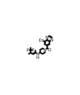 CCc1cc(C(=O)N2CCC(N/C(C)=C/C(C)C(C)(F)F)CC2)cc2nccnc12